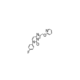 O=c1n(-c2ccc(F)cc2)ccc2nc(COc3ccccn3)cn12